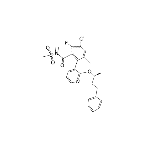 Cc1cc(Cl)c(F)c(C(=O)NS(C)(=O)=O)c1-c1cccnc1O[C@@H](C)CCc1ccccc1